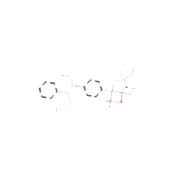 CCN(c1ccc(C(O[Si](CC)(CC)CC)(C(F)(F)F)C(F)(F)F)cc1)C(CO)c1ccccc1